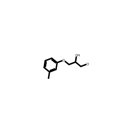 Cc1cccc(OCC(O)CCl)c1